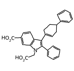 O=C(O)Cn1c(-c2ccccc2)c(C2=CCC(c3ccccc3)CC2)c2ccc(C(=O)O)cc21